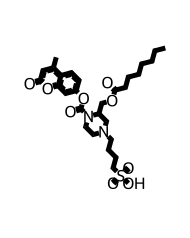 CCCCCCCC(=O)OCC1CN(CCCCS(=O)(=O)O)CCN1C(=O)Oc1ccc2c(C)cc(=O)oc2c1